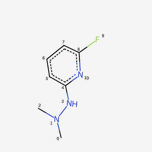 CN(C)Nc1cccc(F)n1